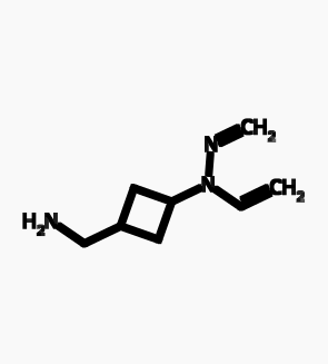 C=CN(N=C)C1CC(CN)C1